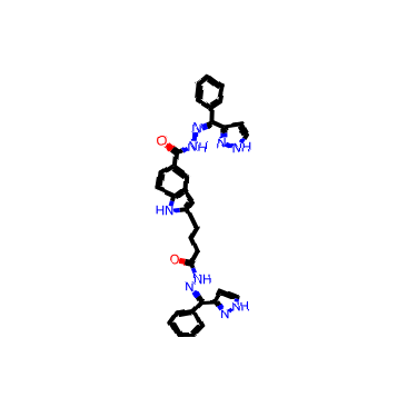 O=C(CCCc1cc2cc(C(=O)NN=C(c3ccccc3)c3cc[nH]n3)ccc2[nH]1)NN=C(c1ccccc1)c1cc[nH]n1